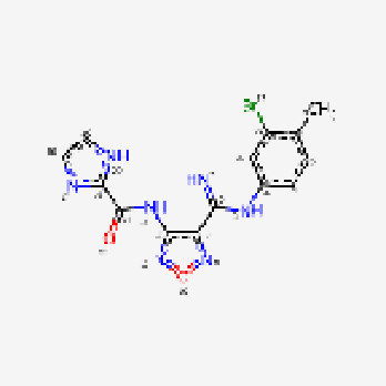 Cc1ccc(NC(=N)c2nonc2NC(=O)c2ncc[nH]2)cc1Br